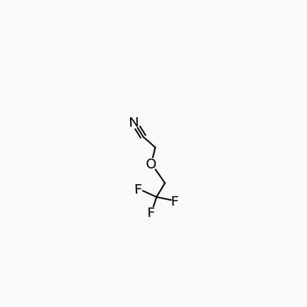 N#CCOCC(F)(F)F